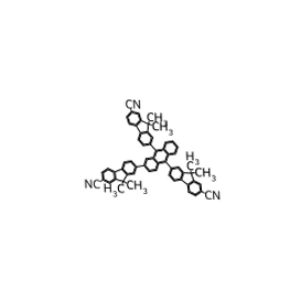 CC1(C)c2cc(C#N)ccc2-c2ccc(-c3ccc4c(-c5ccc6c(c5)C(C)(C)c5cc(C#N)ccc5-6)c5ccccc5c(-c5ccc6c(c5)C(C)(C)c5cc(C#N)ccc5-6)c4c3)cc21